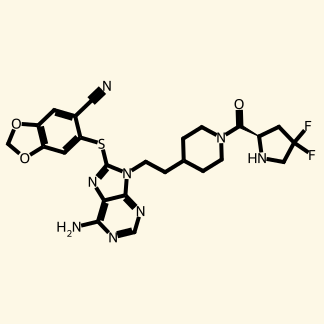 N#Cc1cc2c(cc1Sc1nc3c(N)ncnc3n1CCC1CCN(C(=O)[C@H]3CC(F)(F)CN3)CC1)OCO2